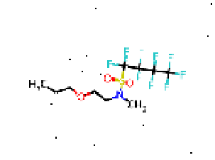 CCCOCCN(C)S(=O)(=O)C(F)(F)C(F)(F)C(F)(F)C(F)(F)F